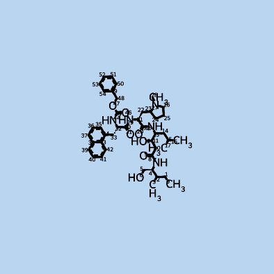 CCC(C)[C@@H](CO)NC(=O)CC(O)C(CC(C)C)NC(=O)[C@H](CC1CCCN1C)NC(=O)[C@H](Cc1cccc2ccccc12)NC(=O)OCc1ccccc1